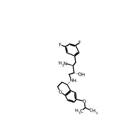 CC(C)Oc1ccc2c(c1)[C@@H](NC[C@@H](O)[C@@H](N)Cc1cc(F)cc(F)c1)CCO2